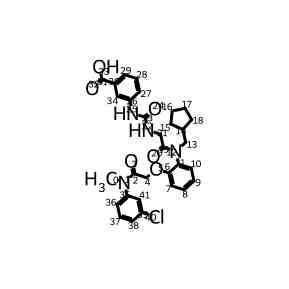 CN(C(=O)COc1ccccc1N(CC1CCCC1)C(=O)CNC(=O)Nc1cccc(C(=O)O)c1)c1cccc(Cl)c1